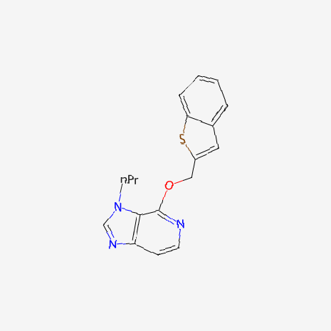 CCCn1cnc2ccnc(OCc3cc4ccccc4s3)c21